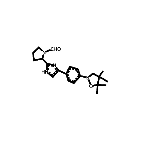 CC1(C)CB(c2ccc(-c3c[nH]c(C4CCCN4C=O)n3)cc2)OC1(C)C